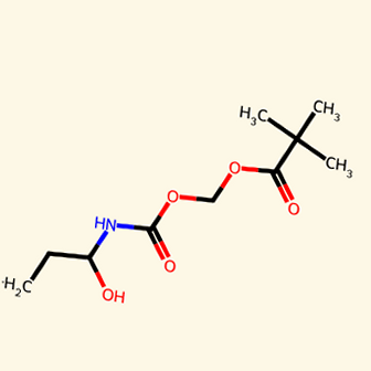 [CH2]CC(O)NC(=O)OCOC(=O)C(C)(C)C